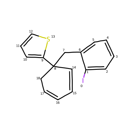 Ic1ccccc1CC1(c2cccs2)C=CC=CC1